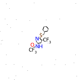 O=C(Nc1cnc(SCc2ccccc2)c(C(F)(F)F)c1)C(F)(F)F